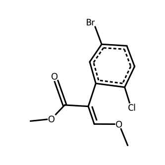 CO/C=C(/C(=O)OC)c1cc(Br)ccc1Cl